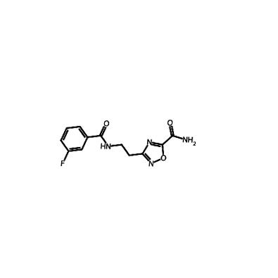 NC(=O)c1nc(CCNC(=O)c2cccc(F)c2)no1